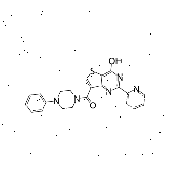 O=C(c1csc2c(O)nc(-c3ccccn3)nc12)N1CCN(c2ccccc2)CC1